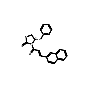 O=C(C=Cc1ccc2ccccc2c1)N1C(=O)OC[C@@H]1Cc1ccccc1